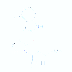 CSCCC(NC(=O)[C@@H](CC(C)C)Sc1c[nH]c2cccc(C)c12)C(=O)O